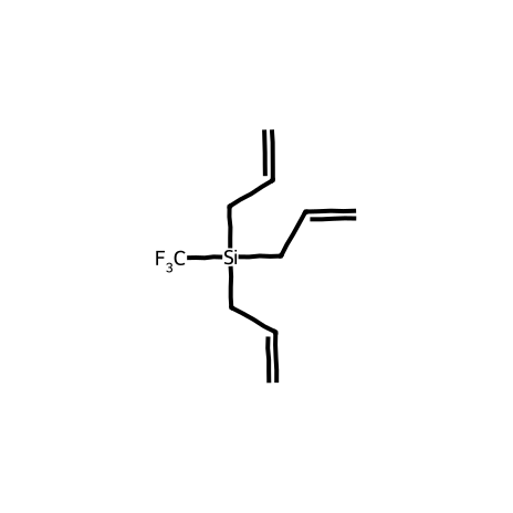 C=CC[Si](CC=C)(CC=C)C(F)(F)F